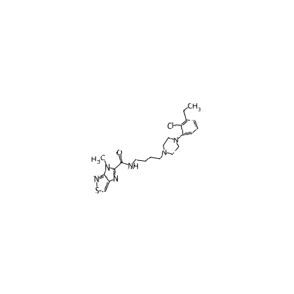 CCc1cccc(N2CCN(CCCCNC(=O)c3nc4csnc4n3C)CC2)c1Cl